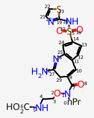 CCCN(OCCNC(=O)O)C(=O)C1=Cc2ccc(S(=O)(=O)Nc3nccs3)cc2N=C(N)C1